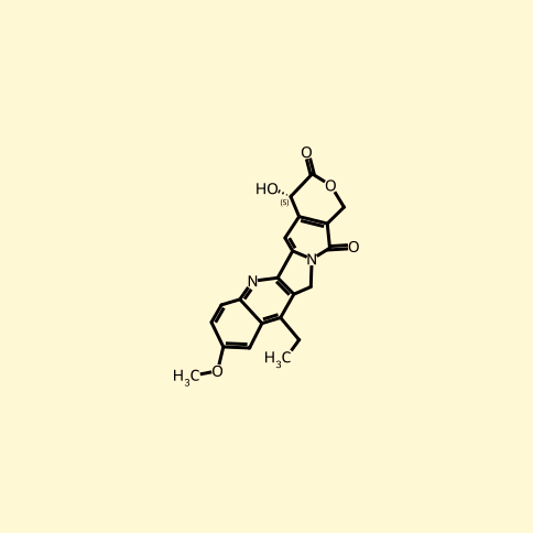 CCc1c2c(nc3ccc(OC)cc13)-c1cc3c(c(=O)n1C2)COC(=O)[C@H]3O